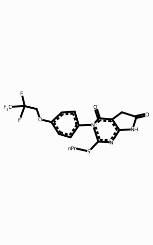 CCCSc1nc2c(c(=O)n1-c1ccc(OCC(F)(F)C(F)(F)F)cc1)CC(=O)N2